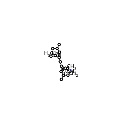 C=C/C=C\C1=C(C)c2cc3c4cc(-c5ccc(-c6ccc7c(c6)c6cc8c(cc6n7-c6cccc(-c7cc(-c9ccccc9)cc(-c9ccccc9)c7)c6)C(C)(C)c6ccccc6-8)cc5)ccc4n(-c4cccc(-c5cc(-c6ccccc6)cc(-c6ccccc6)c5)c4)c3cc2C1(C)C